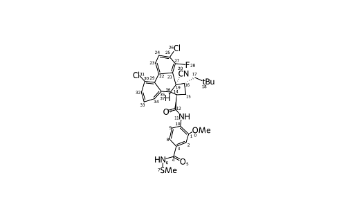 COc1cc(C(=O)NSC)ccc1NC(=O)[C@@H]1C[C@@H](CC(C)(C)C)[C@]2(C#N)c3c(ccc(Cl)c3F)-c3c(Cl)cccc3[C@@H]12